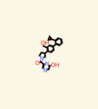 O=C(c1cncc(O)n1)N1CCC(c2ccc(-c3ccccc3C3CC3)cc2CO)C1